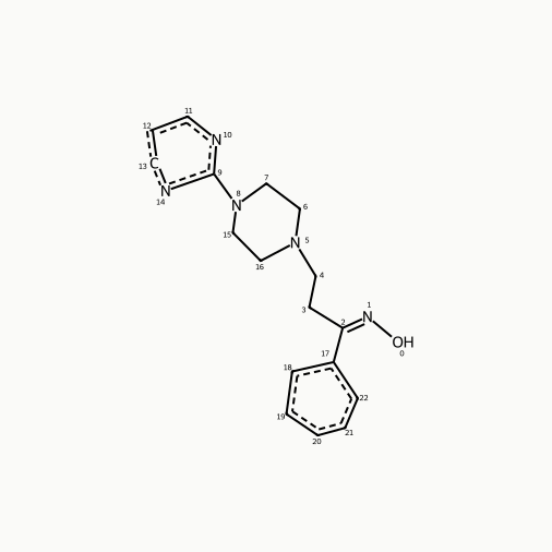 ON=C(CCN1CCN(c2ncccn2)CC1)c1ccccc1